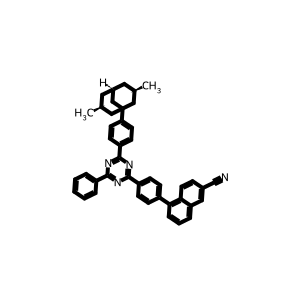 C[C@@H]1C[C@@H]2C[C@H](C)CC(c3ccc(-c4nc(-c5ccccc5)nc(-c5ccc(-c6cccc7cc(C#N)ccc67)cc5)n4)cc3)(C1)C2